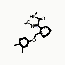 CNC(=O)/C(=N\OC)c1ccccc1COc1ccc(C)c(C)c1